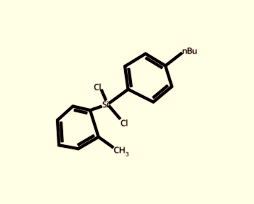 CCCCc1ccc([Si](Cl)(Cl)c2ccccc2C)cc1